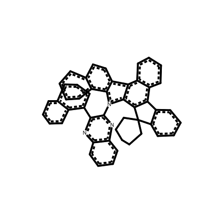 c1ccc2c(c1)-c1c(c3c(c4ccccc14)c1ccc4ccccc4c1n3-c1nc3ccccc3nc1-c1cccc3ccccc13)C21CCCCC1